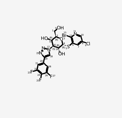 OC[C@H]1O[C@H](Sc2cc(Cl)cnc2Br)[C@H](O)[C@@H](n2cc(-c3cc(F)c(F)c(F)c3)nn2)[C@H]1O